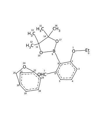 CCOc1cccc(C=O)c1B1OC(C)(C)C(C)(C)O1.c1cc2cc(c1)OC2